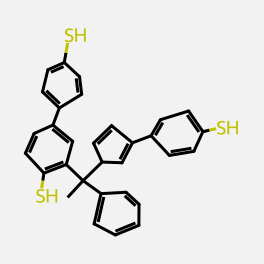 CC(c1ccccc1)(c1cc(-c2ccc(S)cc2)ccc1S)C1C=CC(c2ccc(S)cc2)=C1